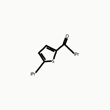 CC(C)C(=O)c1ccc(C(C)C)s1